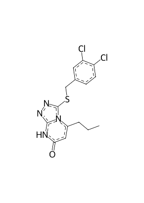 CCCc1cc(=O)[nH]c2nnc(SCc3ccc(Cl)c(Cl)c3)n12